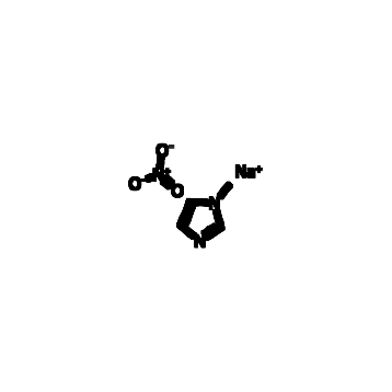 Cn1ccnc1.O=[N+]([O-])[O-].[Na+]